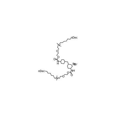 CCCCCCCCCCCCCCCC[N+](C)(C)CCOCCOC(=O)NC1CCC(CC2CCC(NC(=O)OCCOCC[N+](C)(C)CCCCCCCCCCCCCCCC)CC2)CC1.[Br-].[Br-]